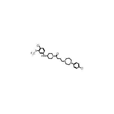 O=C(CCCN1CCCN(c2ccc(Cl)cc2)CC1)N1CCC(Nc2ccc(Cl)c(SC(F)(F)F)c2)CC1